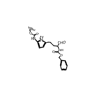 CC(C)(C)OC(=O)Nc1ccc(CC[C@@H](C=O)NC(=O)OCc2ccccc2)[nH]1